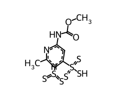 COC(=O)Nc1cc(S(=S)(=S)S)c([SH](=S)=S)c(C)n1